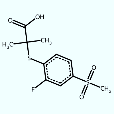 CC(C)(Sc1ccc(S(C)(=O)=O)cc1F)C(=O)O